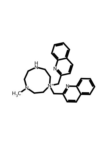 CN1CCNCC[N+](Cc2ccc3ccccc3n2)(Cc2ccc3ccccc3n2)CC1